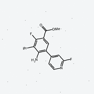 COC(=O)c1cc(-c2ccnc(F)c2)c(N)c(C(C)C)c1F